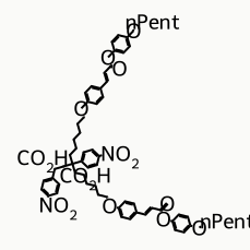 CCCCCOc1ccc(OC(=O)C=Cc2ccc(OCCCCCCC(CCCCCCOc3ccc(C=CC(=O)Oc4ccc(OCCCCC)cc4)cc3)(c3ccc([N+](=O)[O-])cc3)C(Cc3ccc([N+](=O)[O-])cc3)(C(=O)O)C(=O)O)cc2)cc1